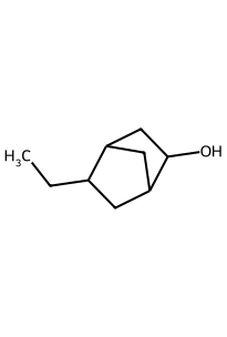 CCC1CC2CC1CC2O